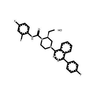 CC[C@H]1CN(c2nnc(-c3ccc(F)cc3)c3ccccc23)CCN1C(=O)Nc1ccc(F)cc1F.Cl